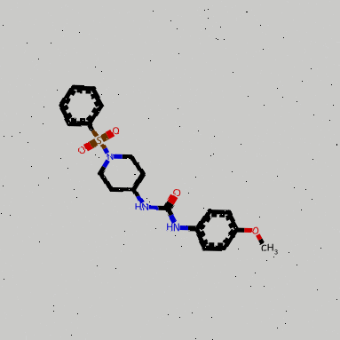 COc1ccc(NC(=O)NC2CCN(S(=O)(=O)c3ccccc3)CC2)cc1